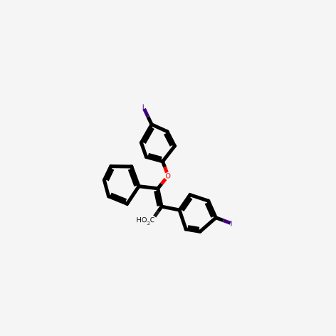 O=C(O)/C(=C(/Oc1ccc(I)cc1)c1ccccc1)c1ccc(I)cc1